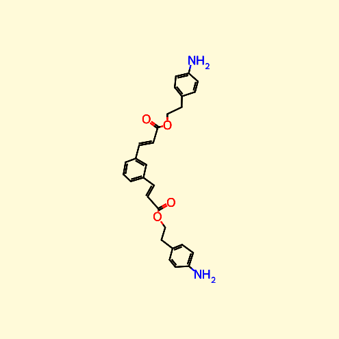 Nc1ccc(CCOC(=O)/C=C/c2cccc(/C=C/C(=O)OCCc3ccc(N)cc3)c2)cc1